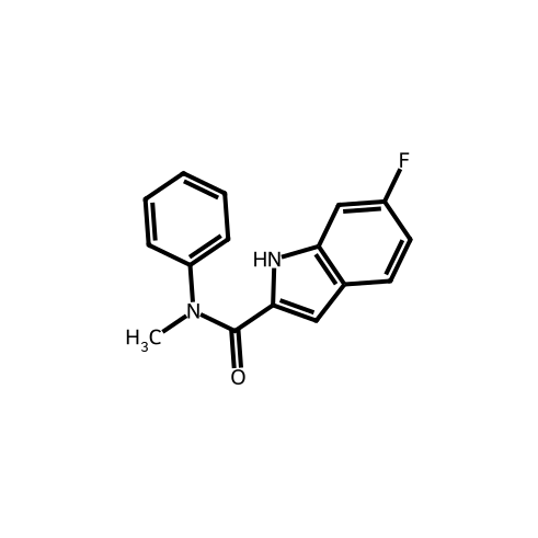 CN(C(=O)c1cc2ccc(F)cc2[nH]1)c1ccccc1